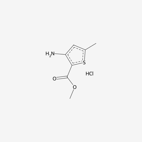 COC(=O)c1sc(C)cc1N.Cl